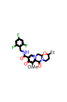 CCC1CCN2C(=O)c3c(OC)c(=O)c(C(=O)NCc4c(F)cc(F)cc4F)cn3CC2O1